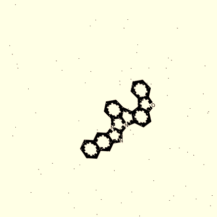 c1ccc2cc3c(cc2c1)nc1n3c2cccc3c4c5c(ccc4n1c32)oc1ccccc15